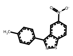 Cc1ccc(-c2nsc3ccc([N+](=O)[O-])cc23)cc1